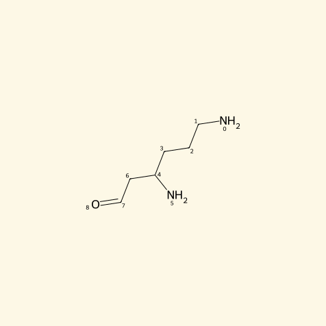 NCCCC(N)CC=O